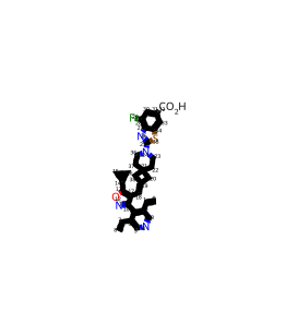 C=Cc1cncc(C=C)c1-c1noc(C2CC2)c1C=C1CC2(CCN(c3nc4c(F)cc(C(=O)O)cc4s3)CC2)C1